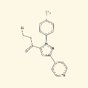 CC(=O)CCC(=O)c1cc(-c2ccncc2)nn1-c1ccc(C(F)(F)F)cc1